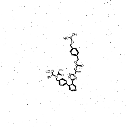 CCCCC(=O)N(Cc1ccc(-c2ccccc2-c2nnn(C(C)OC(=O)OCc3ccc(CON(O)O)cc3)n2)cc1)[C@H](C(=O)O)C(C)C